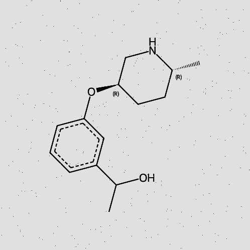 CC(O)c1cccc(O[C@@H]2CC[C@@H](C)NC2)c1